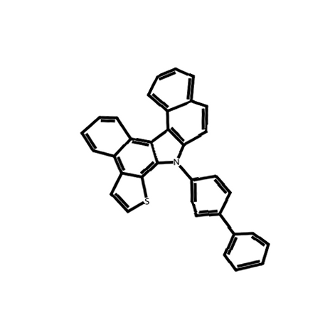 c1ccc(-c2ccc(-n3c4ccc5ccccc5c4c4c5ccccc5c5ccsc5c43)cc2)cc1